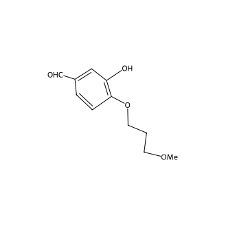 COCCCOc1ccc(C=O)cc1O